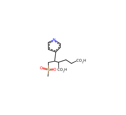 CS(=O)(=O)CC(c1ccncc1)C(CCC(=O)O)C(=O)O